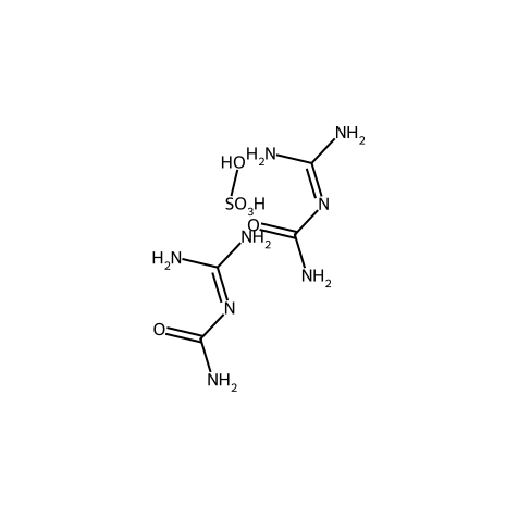 NC(=O)N=C(N)N.NC(=O)N=C(N)N.O=S(=O)(O)O